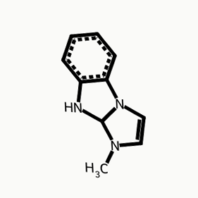 CN1C=CN2c3ccccc3NC12